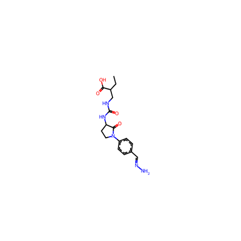 CCC(CNC(=O)NC1CCN(c2ccc(C=NN)cc2)C1=O)C(=O)O